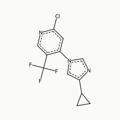 FC(F)(F)c1cnc(Cl)cc1-n1cnc(C2CC2)c1